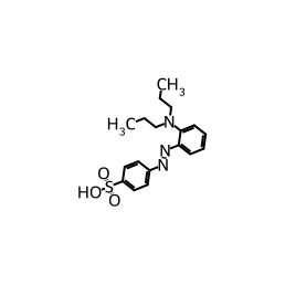 CCCN(CCC)c1ccccc1N=Nc1ccc(S(=O)(=O)O)cc1